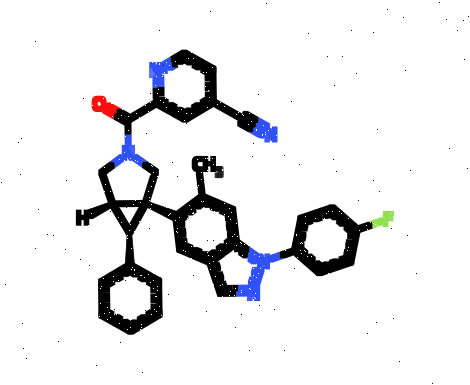 Cc1cc2c(cnn2-c2ccc(F)cc2)cc1[C@]12CN(C(=O)c3cc(C#N)ccn3)C[C@H]1[C@@H]2c1ccccc1